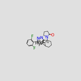 CC1(C)C2CCC[C@@]1(N1CCCC1=O)c1nnc(-c3c(F)cccc3F)cc12